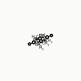 Cc1cc(C2=CC=CC2)cc(C)c1N1C(=O)c2c(C)c(C)c3c4c(c(C)c(C)c(c24)C1=O)C(=O)N(c1c(C)cc(C2=CC=CC2)cc1C)C3=O